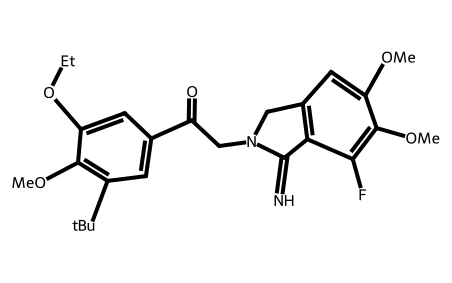 CCOc1cc(C(=O)CN2Cc3cc(OC)c(OC)c(F)c3C2=N)cc(C(C)(C)C)c1OC